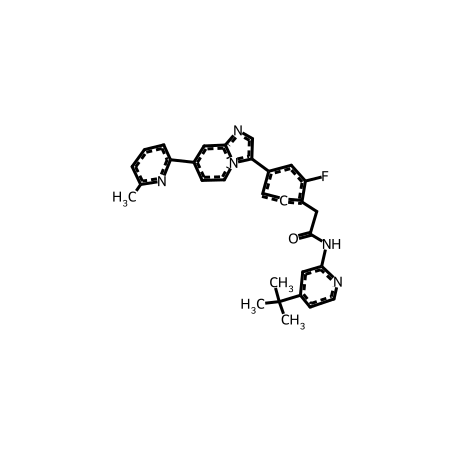 Cc1cccc(-c2ccn3c(-c4ccc(CC(=O)Nc5cc(C(C)(C)C)ccn5)c(F)c4)cnc3c2)n1